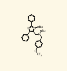 CCCCN(Cc1ccc(OC(F)(F)F)cc1)Cc1c(-c2ccccc2)nc(-c2ccccc2)n1CCCC